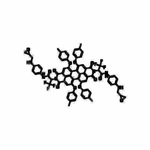 Cc1ccc(Oc2cc3c4c(cc(Oc5ccc(C)cc5)c5c6c(Oc7ccc(C)cc7)cc7c8c(cc(Oc9ccc(C)cc9)c(c2c45)c86)C(=O)N(C(C(=O)Nc2ccc(NCC4CO4)cc2)C(F)(F)F)C7=O)C(=O)N(C(C(=O)Nc2ccc(NCC4CO4)cc2)C(F)(F)F)C3=O)cc1